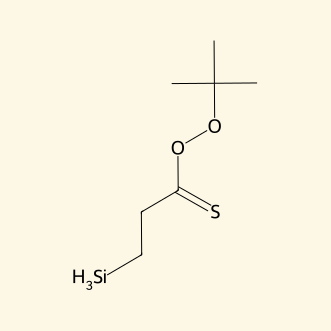 CC(C)(C)OOC(=S)CC[SiH3]